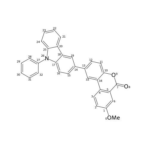 COc1ccc2c(c1)c(=O)oc1ccc(-c3ccc4c(c3)c3ccccc3n4-c3ccccc3)cc12